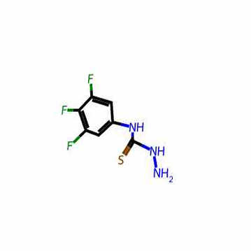 NNC(=S)Nc1cc(F)c(F)c(F)c1